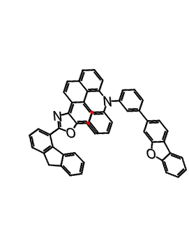 c1ccc(N(c2cccc(-c3ccc4c(c3)oc3ccccc34)c2)c2cccc3ccc4c(ccc5oc(-c6cccc7c6-c6ccccc6C7)nc54)c23)cc#1